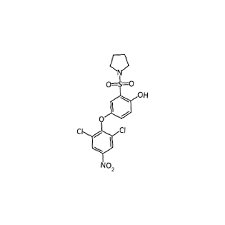 O=[N+]([O-])c1cc(Cl)c(Oc2ccc(O)c(S(=O)(=O)N3CCCC3)c2)c(Cl)c1